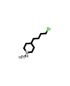 CCC[SiH]1CCC(CCCCBr)CC1